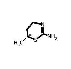 C[C@@H]1CCN=C(N)S1